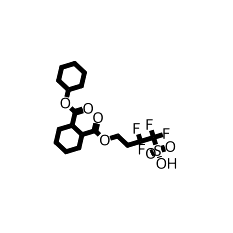 O=C(OCCC(F)(F)C(F)(F)S(=O)(=O)O)C1CCCCC1C(=O)OC1CCCCC1